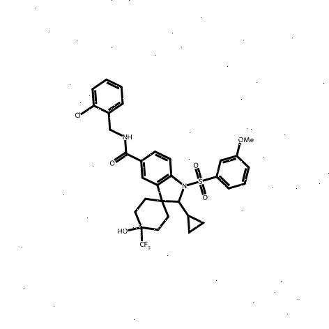 COc1cccc(S(=O)(=O)N2c3ccc(C(=O)NCc4ccccc4Cl)cc3C3(CCC(O)(C(F)(F)F)CC3)C2C2CC2)c1